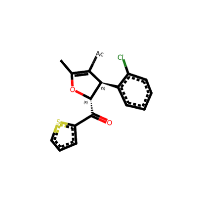 CC(=O)C1=C(C)O[C@@H](C(=O)c2cccs2)[C@@H]1c1ccccc1Cl